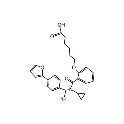 [2H]C(c1ccc(-c2ccco2)cc1)N(C(=O)c1ccccc1OCCCCCC(=O)O)C1CC1